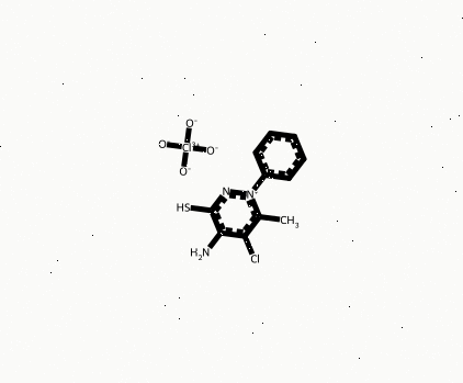 Cc1c(Cl)c(N)c(S)n[n+]1-c1ccccc1.[O-][Cl+3]([O-])([O-])[O-]